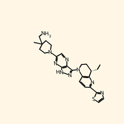 CC[C@H]1CCN(c2n[nH]c3nc(N4CCC(C)(CN)CC4)cnc23)c2ccc(-c3nccs3)nc21